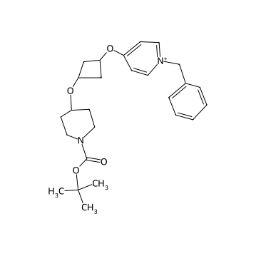 CC(C)(C)OC(=O)N1CCC(OC2CC(Oc3cc[n+](Cc4ccccc4)cc3)C2)CC1